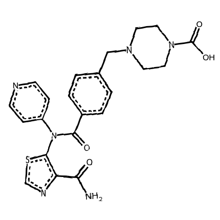 NC(=O)c1ncsc1N(C(=O)c1ccc(CN2CCN(C(=O)O)CC2)cc1)c1ccncc1